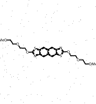 COCCOCCOc1nc2cc3cc4sc(OCCOCCOC)nc4cc3cc2s1